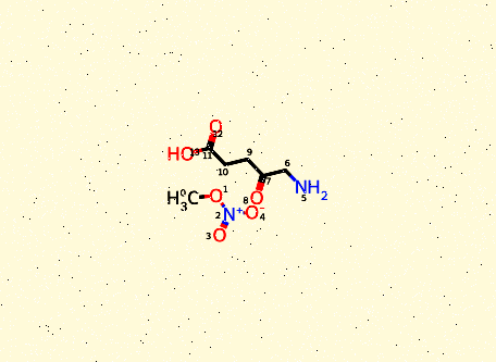 CO[N+](=O)[O-].NCC(=O)CCC(=O)O